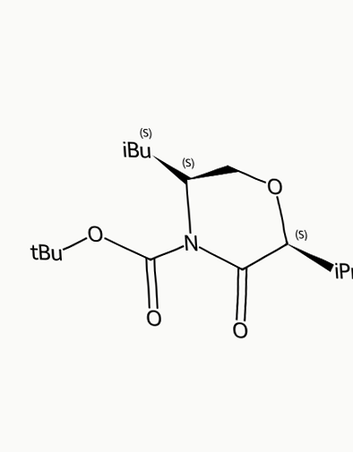 CC[C@H](C)[C@H]1CO[C@@H](C(C)C)C(=O)N1C(=O)OC(C)(C)C